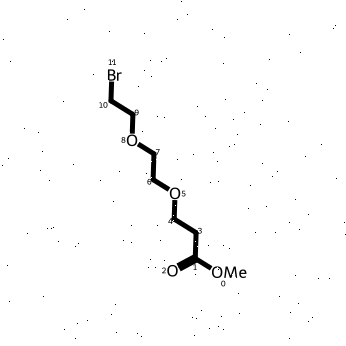 COC(=O)CCOCCOCCBr